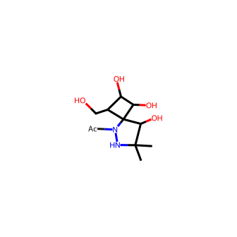 CC(=O)N1NC(C)(C)C(O)C12C(O)C(O)C2CO